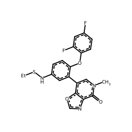 CCSNc1ccc(Oc2ccc(F)cc2F)c(-c2cn(C)c(=O)c3ncoc23)c1